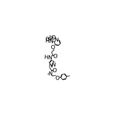 Cc1ccc(OCCN(C)C(=O)Cn2cc(NC(=O)CCOc3cccnc3NS(C)(=O)=O)cn2)cc1